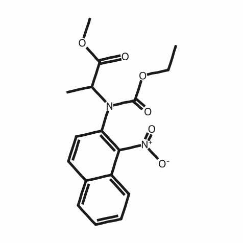 CCOC(=O)N(c1ccc2ccccc2c1[N+](=O)[O-])C(C)C(=O)OC